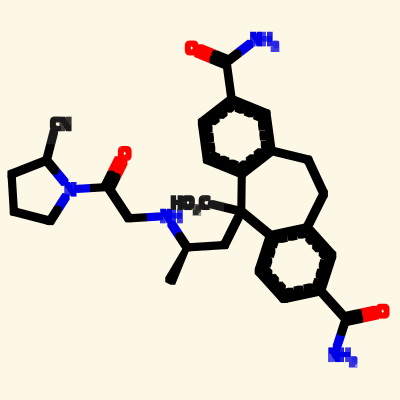 C[C@H](CC1(C(=O)O)c2ccc(C(N)=O)cc2CCc2cc(C(N)=O)ccc21)NCC(=O)N1CCCC1C#N